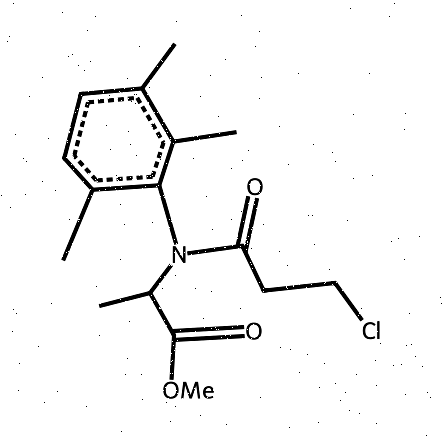 COC(=O)C(C)N(C(=O)CCCl)c1c(C)ccc(C)c1C